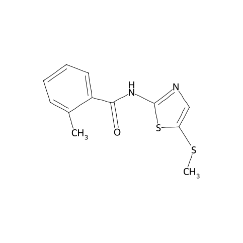 CSc1cnc(NC(=O)c2ccccc2C)s1